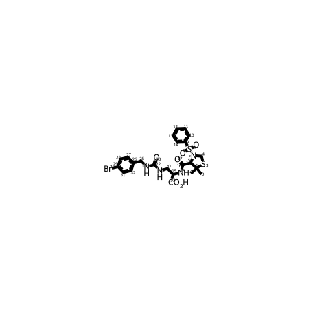 CC1(C)SCN(S(=O)(=O)c2ccccc2)C1C(=O)NC(CNC(=O)NCc1ccc(Br)cc1)C(=O)O